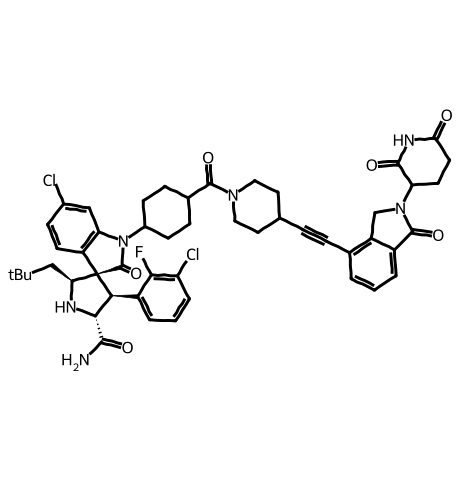 CC(C)(C)C[C@@H]1N[C@@H](C(N)=O)[C@H](c2cccc(Cl)c2F)[C@]12C(=O)N(C1CCC(C(=O)N3CCC(C#Cc4cccc5c4CN(C4CCC(=O)NC4=O)C5=O)CC3)CC1)c1cc(Cl)ccc12